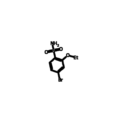 CCOc1cc(Br)ccc1S(N)(=O)=O